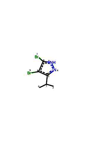 CC(C)c1n[nH]c(Br)c1Br